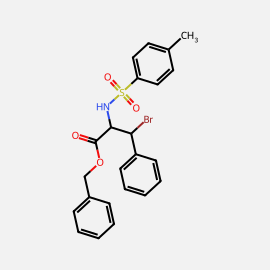 Cc1ccc(S(=O)(=O)NC(C(=O)OCc2ccccc2)C(Br)c2ccccc2)cc1